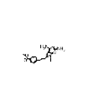 COC(=O)c1ccc(CCCc2cc3c(N)nc(N)nc3[nH]2)cc1